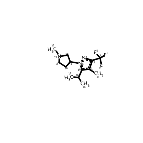 Cc1c(C(F)(F)F)nn(C2CCN(C)C2)c1C(C)C